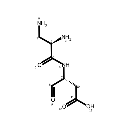 NC[C@@H](N)C(=O)N[C@@H](C=O)CC(=O)O